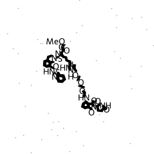 COCOC(=O)c1nc(N2CCc3cccc(C(=O)Nc4nc5ccccc5s4)c3C2)sc1CCCN1C=C(COCCOCCOCCNc2cccc3c2C(=O)N(C2CCC(=O)NC2=O)C3=O)NN1